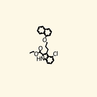 CCOC(=O)c1[nH]c2cccc(Cl)c2c1CCCOc1cccc2ccccc12